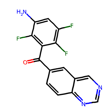 Nc1cc(F)c(F)c(C(=O)c2ccc3ncncc3c2)c1F